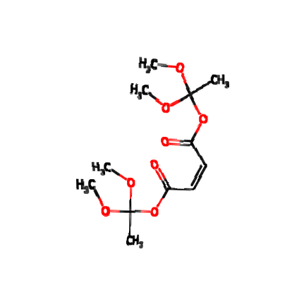 COC(C)(OC)OC(=O)/C=C\C(=O)OC(C)(OC)OC